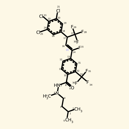 CC(C)CCN(C)NC(=O)c1ccc(/C(F)=C/C(c2cc(Cl)c(Cl)c(Cl)c2)C(F)(F)F)cc1C(F)(F)F